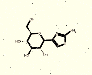 Nc1nc(C2O[C@H](CO)[C@@H](O)[C@H](O)[C@H]2O)cs1